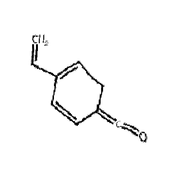 C=CC1=CCC(=C=O)C=C1